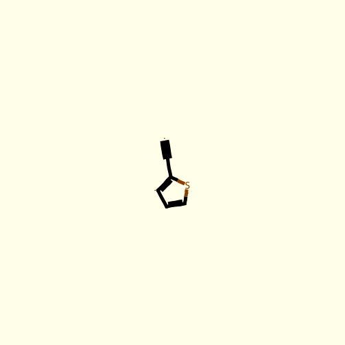 [C]#Cc1[c]ccs1